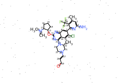 Cc1cc(N)nc(-c2cc3nc(OC4CCCC4N(C)C)nc(N4CCN(C=CC=O)C[C@@H]4C)c3cc2Cl)c1C(F)(F)F